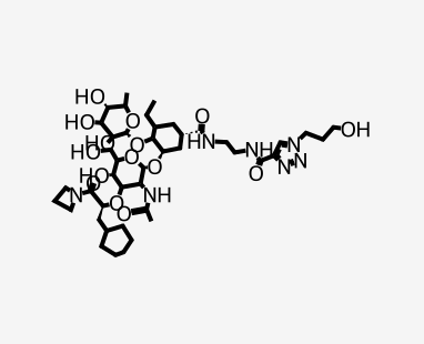 CCC1C[C@H](C(=O)NCCNC(=O)c2cn(CCCO)nn2)C[C@@H](O[C@@H]2OC(CO)[C@H](O)C(O[C@@H](CC3CCCCC3)C(=O)N3CCC3)C2NC(C)=O)C1O[C@@H]1OC(C)[C@@H](O)C(O)C1O